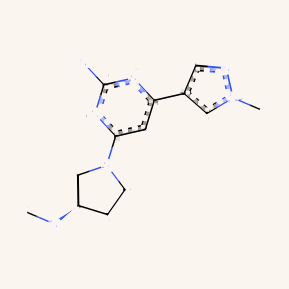 CN[C@@H]1CCN(c2cc(-c3cnn(C)c3)nc(N)n2)C1